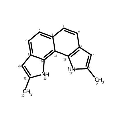 Cc1cc2ccc3ccc4cc(C)[nH]c4c3c2[nH]1